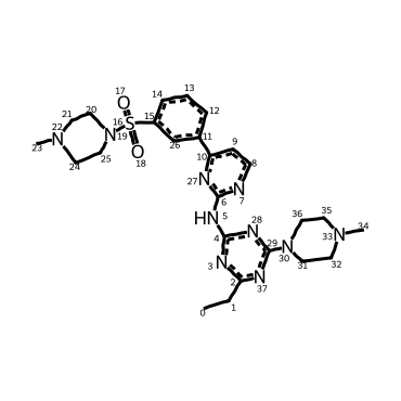 CCc1nc(Nc2nccc(-c3cccc(S(=O)(=O)N4CCN(C)CC4)c3)n2)nc(N2CCN(C)CC2)n1